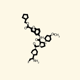 COC1CCC([C@@H]2CCN(C(=O)[C@H]3CC[C@H]([C@H](N)CF)CC3)C2C(=O)Nc2ccc3oc(C(=O)OCC4CCCC4)cc3c2)CC1